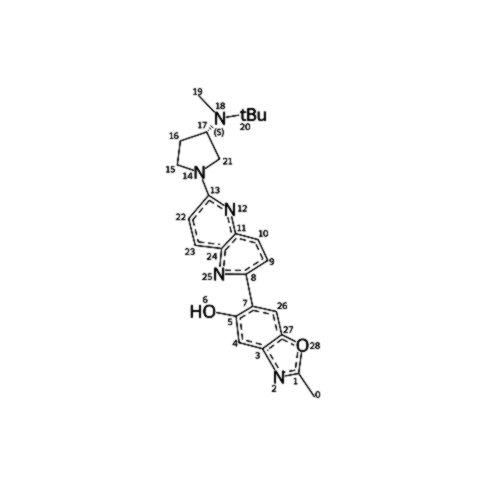 Cc1nc2cc(O)c(-c3ccc4nc(N5CC[C@H](N(C)C(C)(C)C)C5)ccc4n3)cc2o1